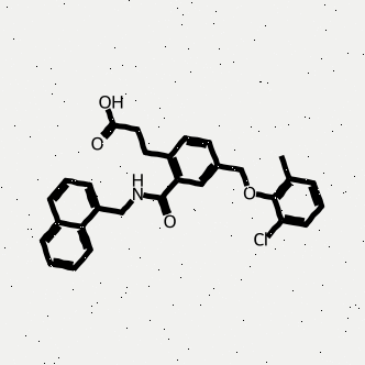 Cc1cccc(Cl)c1OCc1ccc(CCC(=O)O)c(C(=O)NCc2cccc3ccccc23)c1